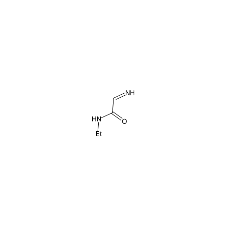 CCNC(=O)C=N